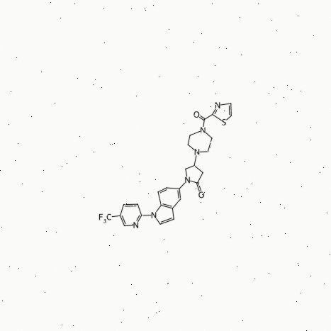 O=C(c1nccs1)N1CCN(C2CC(=O)N(c3ccc4c(ccn4-c4ccc(C(F)(F)F)cn4)c3)C2)CC1